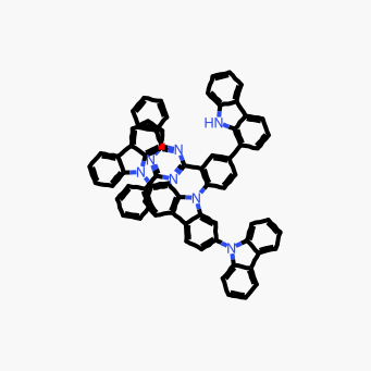 c1ccc(-c2nc(-c3ccccc3)nc(-c3cc(-c4cccc5c4[nH]c4ccccc45)ccc3-n3c4cc(-n5c6ccccc6c6ccccc65)ccc4c4ccc(-n5c6ccccc6c6ccccc65)cc43)n2)cc1